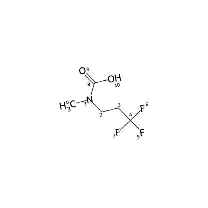 CN(CCC(F)(F)F)C(=O)O